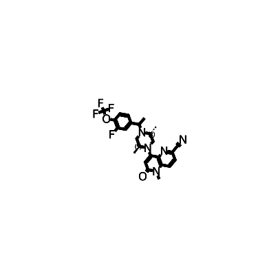 CC(c1ccc(OC(F)(F)F)c(F)c1)N1C[C@H](C)N(c2cc(=O)n(C)c3ccc(C#N)nc23)C[C@H]1C